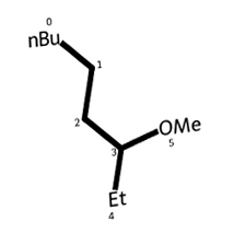 CCCCCCC(CC)OC